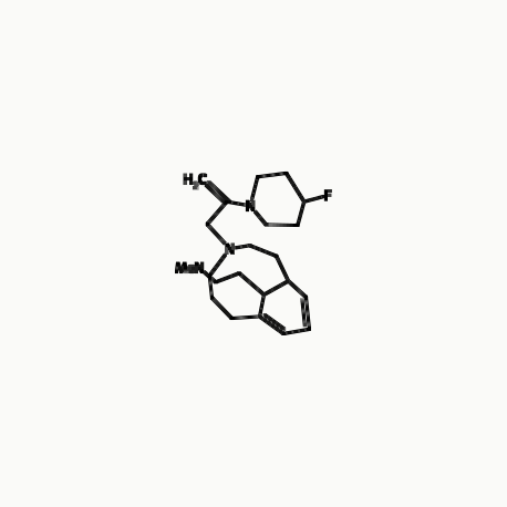 C=C(CN1CCCC2=CC=CC(CC1)C2CCNC)N1CCC(F)CC1